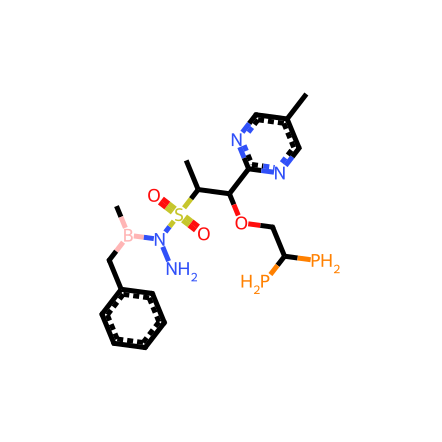 CB(Cc1ccccc1)N(N)S(=O)(=O)C(C)C(OCC(P)P)c1ncc(C)cn1